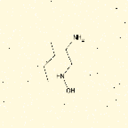 CCCC.NCCNO